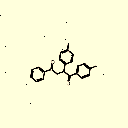 Cc1ccc(C(=O)C(CC(=O)c2ccccc2)c2ccc(C)cc2)cc1